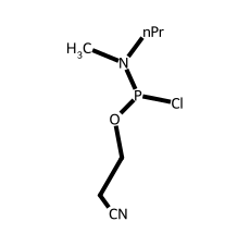 CCCN(C)P(Cl)OCCC#N